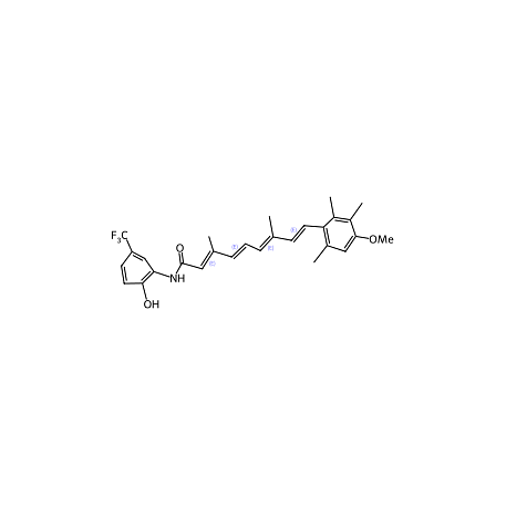 COc1cc(C)c(/C=C/C(C)=C/C=C/C(C)=C/C(=O)Nc2cc(C(F)(F)F)ccc2O)c(C)c1C